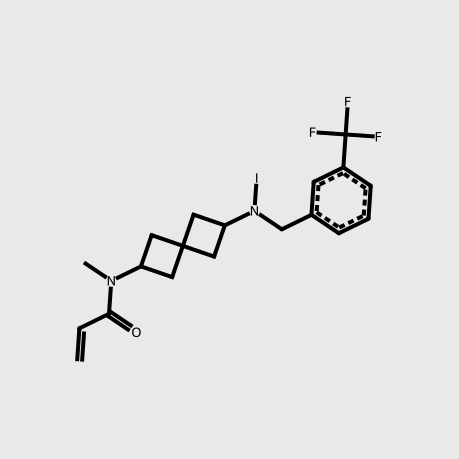 C=CC(=O)N(C)C1CC2(CC(N(I)Cc3cccc(C(F)(F)F)c3)C2)C1